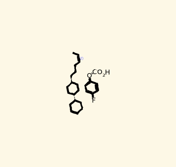 C/C=C\CCC[C@H]1CC[C@H](C2CCCCC2)CC1.O=C(O)Oc1ccc(F)cc1